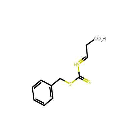 O=C(O)CC=[SH]C(=S)SCc1ccccc1